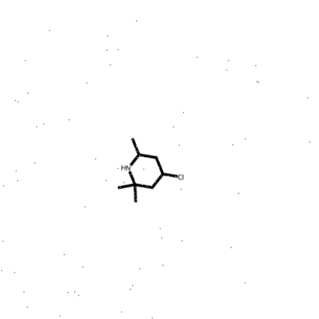 CC1CC(Cl)CC(C)(C)N1